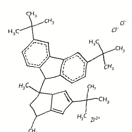 CC1CC(C)(C2c3ccc(C(C)(C)C)cc3-c3cc(C(C)(C)C)ccc32)C2C=C(C(C)(C)C)C=C12.[Cl-].[Cl-].[Zr+2]